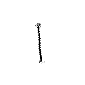 O=C(CCCCCCCCCCCCCCCCCCCCCCCCCCCCCCC(=S)S)NO